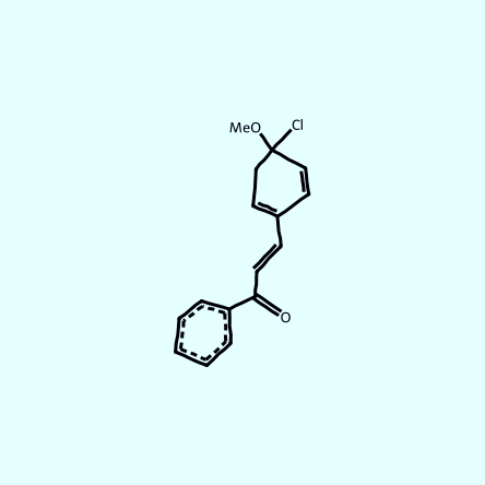 COC1(Cl)C=CC(C=CC(=O)c2ccccc2)=CC1